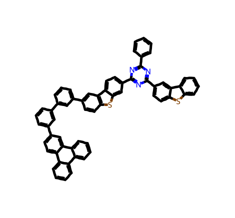 c1ccc(-c2nc(-c3ccc4c(c3)sc3ccc(-c5cccc(-c6cccc(-c7ccc8c9ccccc9c9ccccc9c8c7)c6)c5)cc34)nc(-c3ccc4sc5ccccc5c4c3)n2)cc1